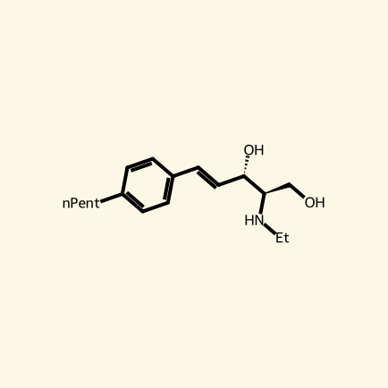 CCCCCc1ccc(/C=C/[C@H](O)[C@@H](CO)NCC)cc1